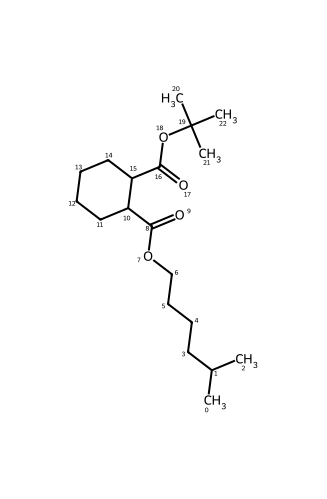 CC(C)CCCCOC(=O)C1CCCCC1C(=O)OC(C)(C)C